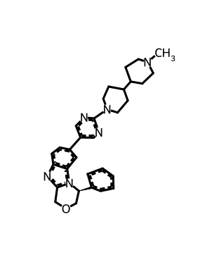 CN1CCC(C2CCN(c3ncc(-c4ccc5nc6n(c5c4)[C@@H](c4ccccc4)COC6)cn3)CC2)CC1